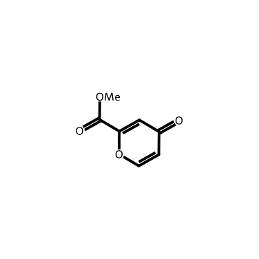 COC(=O)c1cc(=O)cco1